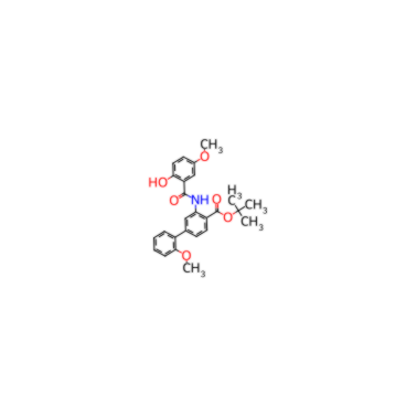 COc1ccc(O)c(C(=O)Nc2cc(-c3ccccc3OC)ccc2C(=O)OC(C)(C)C)c1